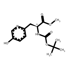 COC(=O)[C@H](Cc1ccc(O)cn1)NC(=O)OC(C)(C)C